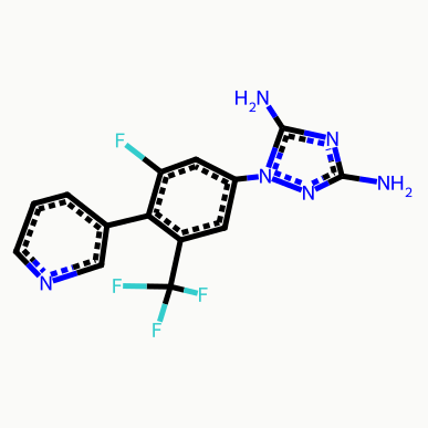 Nc1nc(N)n(-c2cc(F)c(-c3cccnc3)c(C(F)(F)F)c2)n1